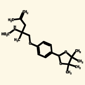 C=C(C)CC(C)(COc1ccc(B2OC(C)(C)C(C)(C)O2)cc1)NC(=O)O